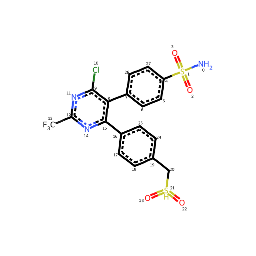 NS(=O)(=O)c1ccc(-c2c(Cl)nc(C(F)(F)F)nc2-c2ccc(C[SH](=O)=O)cc2)cc1